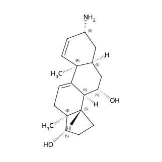 C[C@]12CC=C3[C@@H]([C@@H](O)C[C@@H]4C[C@@H](N)C=C[C@]34C)[C@@H]1CC[C@@H]2O